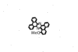 COc1cccc2c3ccccc3c3nc4c5ccccc5c5ccccc5c4nc3c12